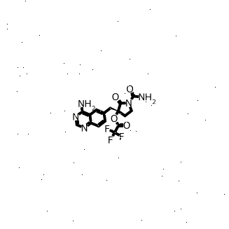 NC(=O)N1CC[C@](Cc2ccc3ncnc(N)c3c2)(OC(=O)C(F)(F)F)C1=O